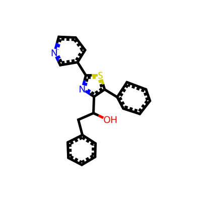 OC(Cc1ccccc1)c1nc(-c2cccnc2)sc1-c1ccccc1